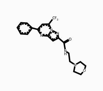 O=C(NCCN1CCOCC1)c1cc2nc(-c3ccccc3)cc(C(F)(F)F)n2n1